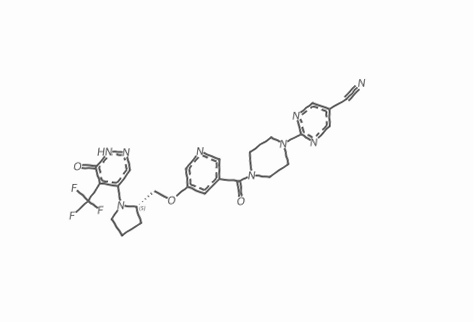 N#Cc1cnc(N2CCN(C(=O)c3cncc(OC[C@@H]4CCCN4c4cn[nH]c(=O)c4C(F)(F)F)c3)CC2)nc1